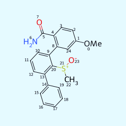 COc1ccc(C(N)=O)c(-c2cccc(-c3ccccc3)c2[S+](C)[O-])c1